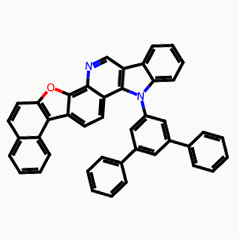 c1ccc(-c2cc(-c3ccccc3)cc(-n3c4ccccc4c4cnc5c(ccc6c5oc5ccc7ccccc7c56)c43)c2)cc1